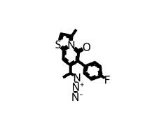 Cc1csc2cc(C(C)N=[N+]=[N-])c(-c3ccc(F)cc3)c(=O)n12